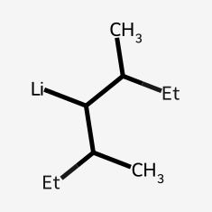 [Li][CH](C(C)CC)C(C)CC